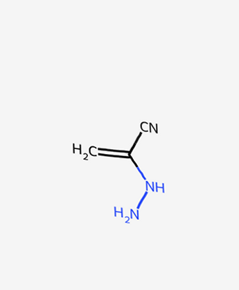 C=C(C#N)NN